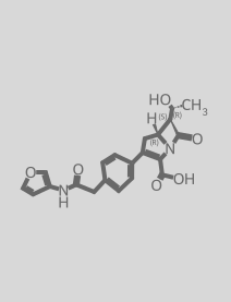 C[C@@H](O)[C@H]1C(=O)N2C(C(=O)O)=C(c3ccc(CC(=O)Nc4ccoc4)cc3)C[C@H]12